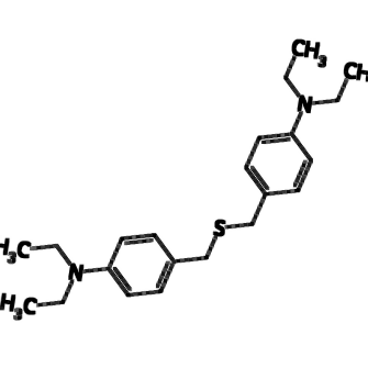 CCN(CC)c1ccc(CSCc2ccc(N(CC)CC)cc2)cc1